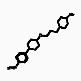 CCCCCCCc1ccc(C2CCC(OCCCC3CCC(CCC)CC3)CC2)cc1